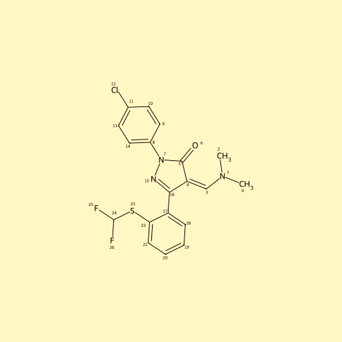 CN(C)C=C1C(=O)N(c2ccc(Cl)cc2)N=C1c1ccccc1SC(F)F